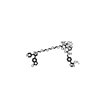 Cc1ncsc1-c1ccc(CNC(=O)[C@@H]2CCCN2C(=O)C(NC(=O)COCCOCCOCCOCCn2cc(-c3ccc4c(c3)CCC4=O)c(-c3ccncc3)n2)C(C)(C)C)cc1